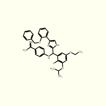 CCOc1cc(OC(C)C)c(F)c(C(Nc2ccc(C(=N)N)cc2)c2nc(-c3ccccc3OCc3ccccc3)c[nH]2)c1